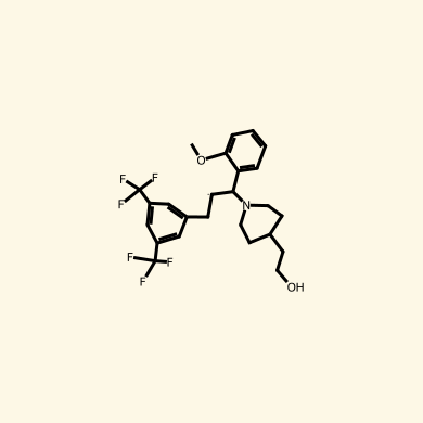 COc1ccccc1C([CH]Cc1cc(C(F)(F)F)cc(C(F)(F)F)c1)N1CCC(CCO)CC1